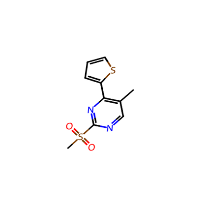 Cc1cnc(S(C)(=O)=O)nc1-c1cccs1